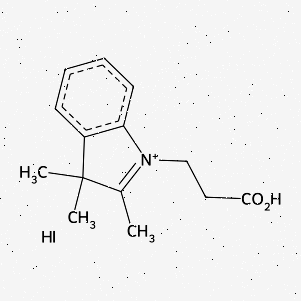 CC1=[N+](CCC(=O)O)c2ccccc2C1(C)C.I